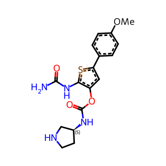 COc1ccc(-c2cc(OC(=O)N[C@H]3CCNC3)c(NC(N)=O)s2)cc1